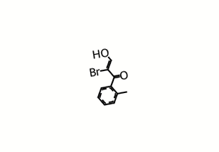 Cc1ccccc1C(=O)C(Br)=CO